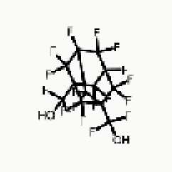 OC(F)(F)C12C(F)(F)C3(F)C(F)(F)C(F)(C1(F)F)C(F)(F)C(C(O)(F)F)(C3(F)F)C2(F)F